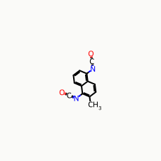 Cc1ccc2c(N=C=O)cccc2c1N=C=O